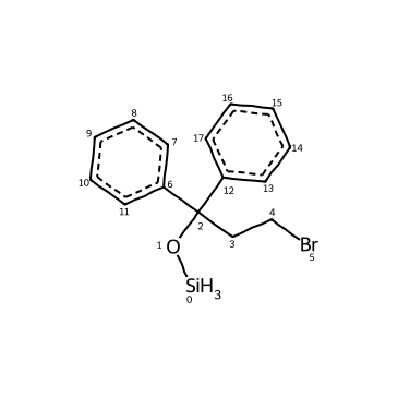 [SiH3]OC(CCBr)(c1ccccc1)c1ccccc1